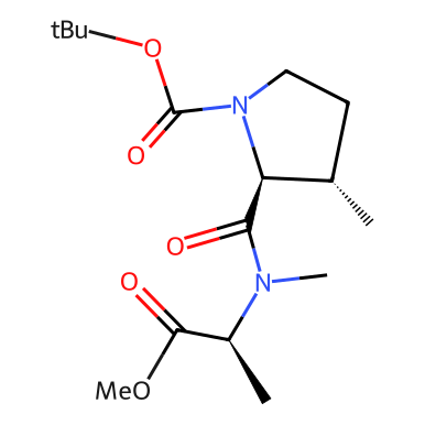 COC(=O)[C@H](C)N(C)C(=O)[C@@H]1[C@@H](C)CCN1C(=O)OC(C)(C)C